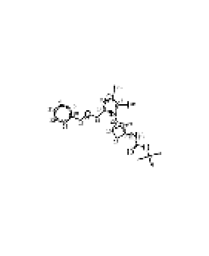 CC(C)(C)OC(=O)NC12CC(C1)C(n1c(COCc3ccccc3)nc(I)c1I)C2